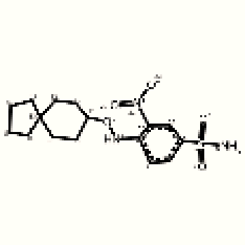 NS(=O)(=O)c1ccc(NOC2CCC3(CCCC3)CC2)c([N+](=O)[O-])c1